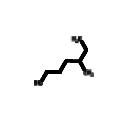 [CH2]CC(C)CCCO